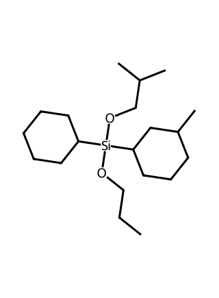 CCCO[Si](OCC(C)C)(C1CCCCC1)C1CCCC(C)C1